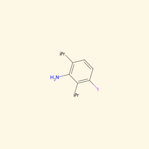 CC(C)c1ccc(I)c(C(C)C)c1N